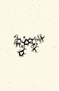 COC(=O)CN(C(=O)C(F)(F)F)c1c(OCc2ccccc2)cc2c(c1F)C[C@@H](CO[Si](C)(C)C(C)(C)C)N2C(=O)OC(C)(C)C